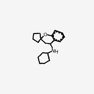 c1ccc2c(c1)OC1(CCCC1)CC2NC1CCCCC1